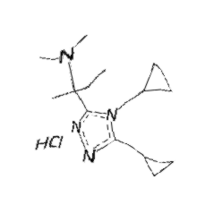 CN(C)C(C)(C)c1nnc(C2CC2)n1C1CC1.Cl